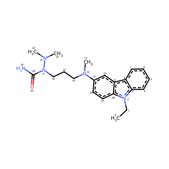 CCn1c2ccccc2c2cc(N(C)CCCN(C(N)=O)N(C)C)ccc21